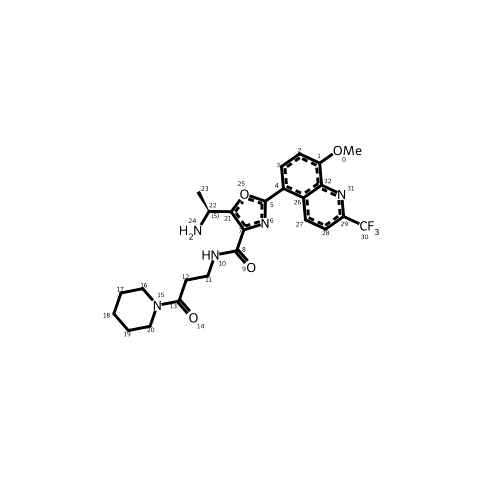 COc1ccc(-c2nc(C(=O)NCCC(=O)N3CCCCC3)c([C@H](C)N)o2)c2ccc(C(F)(F)F)nc12